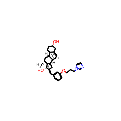 C[C@]12CC[C@H]3[C@@H](CC=C4C[C@@H](O)CC[C@@]43C)[C@@H]1C/C(=C\c1cccc(OCCCn3ccnc3)c1)[C@@H]2O